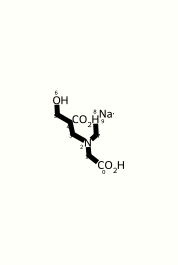 O=C(O)CN(CCCO)CC(=O)O.[Na]